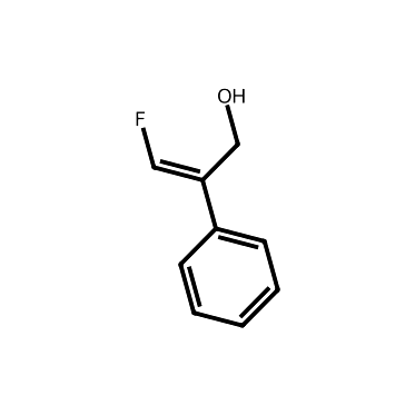 OCC(=CF)c1ccccc1